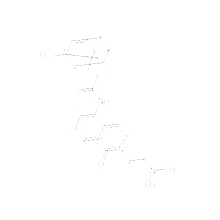 CN(C)CCn1ccc2c(NC(=O)CC34CC5=CC(C)(CC(C5)C3)C4)cccc2c1=O